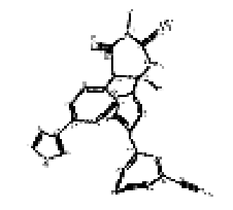 CN1C(=N)N[C@](C)(c2cc(-c3cccc(C#N)c3)cs2)C(c2ccc(-c3ccsc3)cc2)C1=O